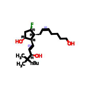 CCCCC(C)(C)[C@H](O)/C=C/[C@@H]1[C@@H](C/C=C\CCCCO)[C@H](F)C[C@H]1O